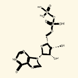 O=c1[nH]cnc2c1ncn2[C@@H]1O[C@H](COP(=O)(O)OP(=O)(O)O)[C@H](O)[C@@H]1O